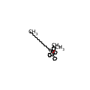 CCCCCCCCCCCCCCCCCCn1c(-c2ccccc2P(C2CCCCC2)C2CCCCC2)nc2cc(C)c(C)cc21